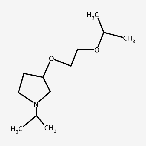 CC(C)OCCOC1CCN(C(C)C)C1